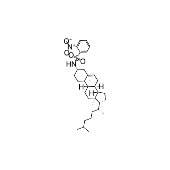 CC(C)CCC[C@@H](C)[C@H]1CC[C@H]2[C@@H]3CC=C4C[C@@H](NS(=O)(=O)c5ccccc5[N+](=O)[O-])CC[C@]4(C)[C@H]3CC[C@]12C